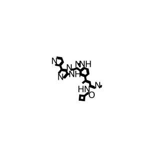 C=N/C=C(\C=C(/C)c1ccc2[nH]nc(-c3nc4c(-c5cccnc5)cncc4[nH]3)c2c1)NC(=O)C1CCC1